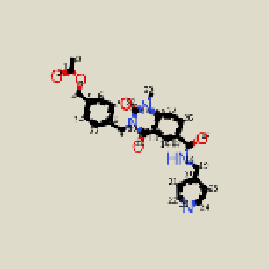 CC(=O)OCc1ccc(Cn2c(=O)c3cc(C(=O)NCc4ccncc4)ccc3n(C)c2=O)cc1